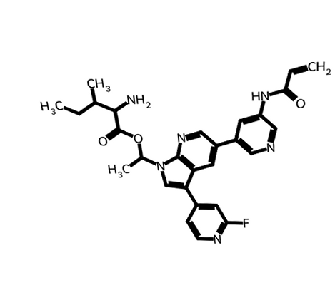 C=CC(=O)Nc1cncc(-c2cnc3c(c2)c(-c2ccnc(F)c2)cn3C(C)OC(=O)C(N)C(C)CC)c1